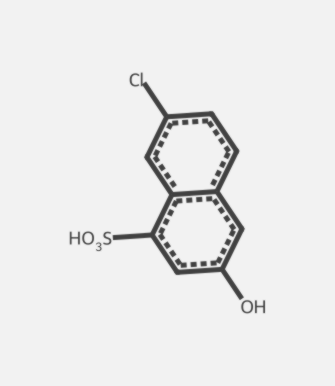 O=S(=O)(O)c1cc(O)cc2ccc(Cl)cc12